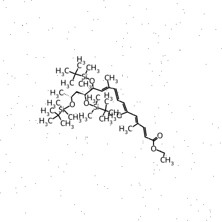 CCOC(=O)/C=C/C(C)=C/C(C)=C/C=CC(C)=C[C@H](O[Si](C)(C)C(C)(C)C)[C@H](C[C@@H](C)O[Si](C)(C)C(C)(C)C)O[Si](C)(C)C(C)(C)C